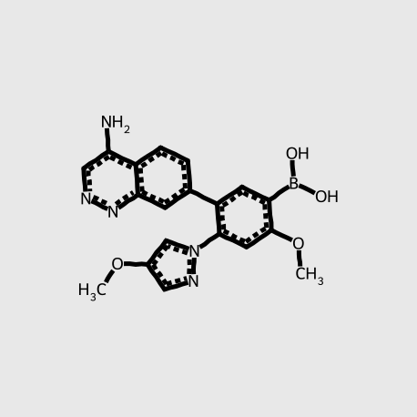 COc1cnn(-c2cc(OC)c(B(O)O)cc2-c2ccc3c(N)cnnc3c2)c1